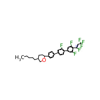 CCCCCC1CCC(c2ccc(-c3ccc(-c4cc(F)c(/C(F)=C/C(F)(F)F)c(F)c4)c(F)c3)cc2)OC1